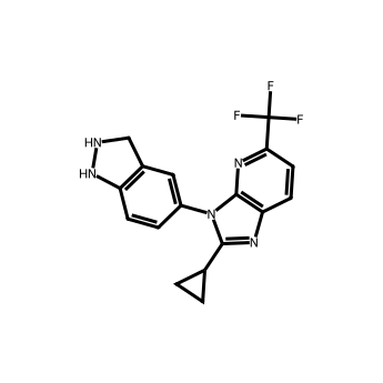 FC(F)(F)c1ccc2nc(C3CC3)n(-c3ccc4c(c3)CNN4)c2n1